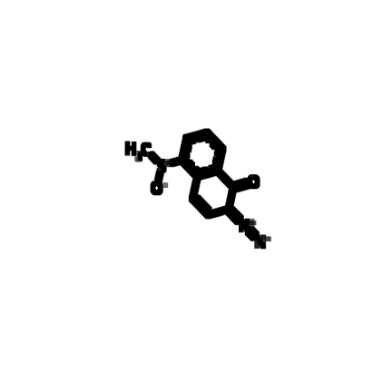 C[S+]([O-])c1cccc2c1C=CC(=[N+]=[N-])C2=O